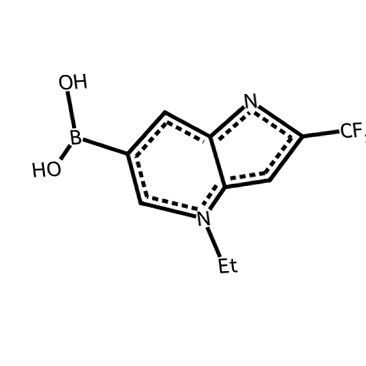 CCn1cc(B(O)O)cc2nc(C(F)(F)F)cc1-2